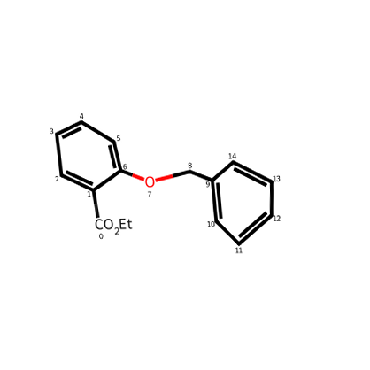 CCOC(=O)c1ccccc1OCc1ccccc1